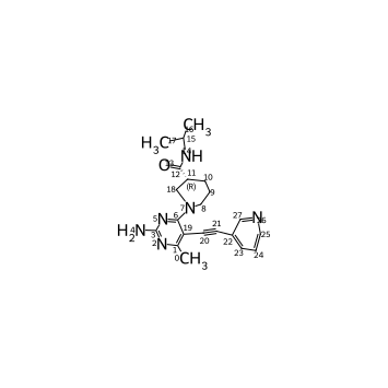 Cc1nc(N)nc(N2CCC[C@@H](C(=O)NC(C)C)C2)c1C#Cc1cccnc1